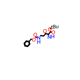 CC(C)(C)OC(=O)C(=N)C(=O)CCNC(=O)OCc1ccccc1